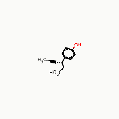 CC#C[C@@H](CC(=O)O)c1ccc(O)cc1